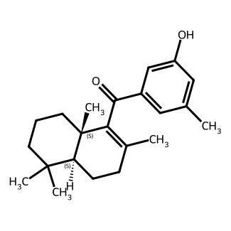 CC1=C(C(=O)c2cc(C)cc(O)c2)[C@@]2(C)CCCC(C)(C)[C@@H]2CC1